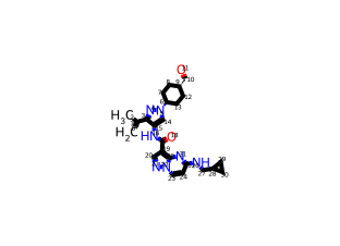 C=C(C)c1nn([C@H]2CC[C@H](C=O)CC2)cc1NC(=O)c1cnn2ccc(NCC3CC3)nc12